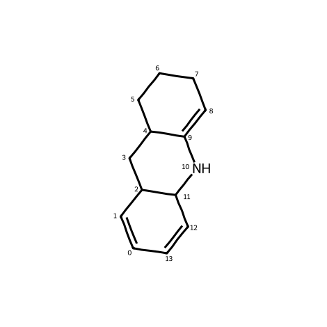 C1=CC2CC3CCCC=C3NC2C=C1